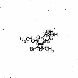 CCOC(=O)c1c(Br)nn(C)c1N1CCS(O)(O)CC1